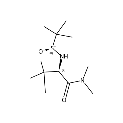 CN(C)C(=O)[C@H](N[S@@+]([O-])C(C)(C)C)C(C)(C)C